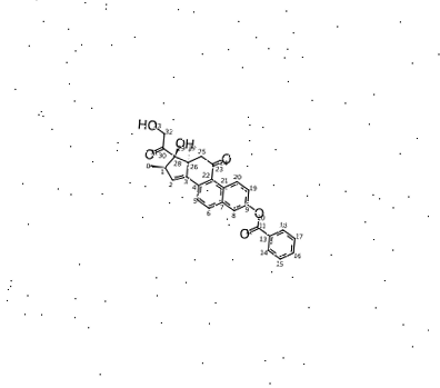 C[C@@H]1C=C2c3ccc4cc(OC(=O)c5ccccc5)ccc4c3C(=O)C[C@]2(C)[C@@]1(O)C(=O)CO